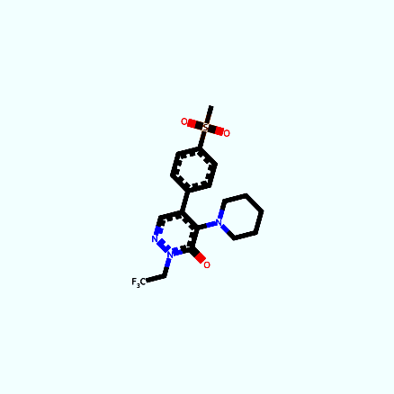 CS(=O)(=O)c1ccc(-c2cnn(CC(F)(F)F)c(=O)c2N2CCCCC2)cc1